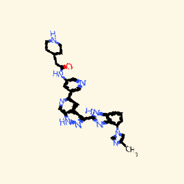 Cc1cn(-c2cccc3[nH]c(-c4n[nH]c5cnc(-c6cncc(NC(=O)CC7CCNCC7)c6)cc45)nc23)cn1